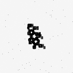 CN1CN(C)c2c(ncn2[C@@H]2O[C@H](CO)[C@@H](O)[C@H]2O)C1=O